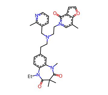 CCN1C(=O)C(C)(C)C(=O)N(C)c2cc(CCN(CCn3cc(C)c4occc4c3=O)Cc3cccnc3C)ccc21